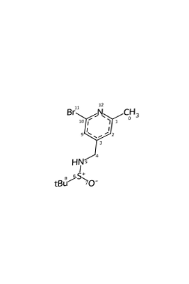 Cc1cc(CN[S+]([O-])C(C)(C)C)cc(Br)n1